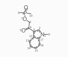 Cn1cc(C(=O)COP(C)(C)=O)c2ccccc21